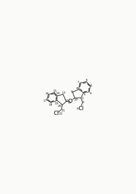 ClCC1c2ccccc2CC1OC1Cc2ccccc2C1CCl